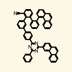 N#Cc1cccc(-c2ccccc2-c2cccc3ccc4ccccc4c23)c1-c1cccc(-c2ccc(-c3nc(-c4ccccc4)nc(-c4ccc5ccc6ccccc6c5c4)n3)cc2)c1